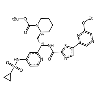 CCOc1cncc(-c2cnc(C(=O)N[C@@H](C[C@@H]3CCCCN3C(=O)OC(C)(C)C)c3cc(NS(=O)(=O)C4CC4)ccn3)s2)n1